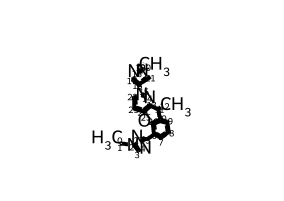 CCn1cnc(-c2cccc(C(C)c3nn(-c4cnn(C)c4)ccc3=O)c2)n1